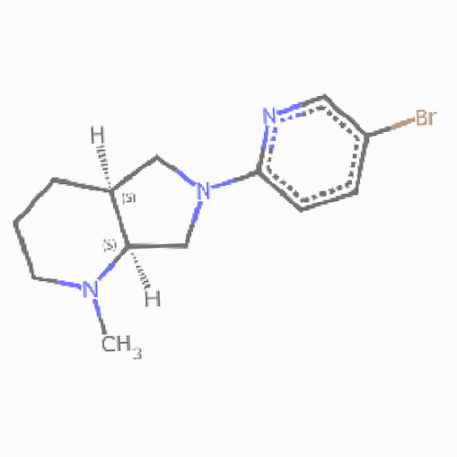 CN1CCC[C@H]2CN(c3ccc(Br)cn3)C[C@H]21